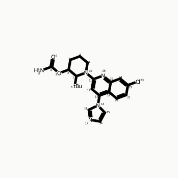 CC(C)(C)C1C(OC(N)=O)CCCN1c1cc(-n2ccnc2)c2ccc(Cl)cc2n1